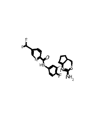 NC1=N[C@@]2(c3cc(NC(=O)c4ccc(C(F)F)cn4)ccc3F)CCCC2CS1